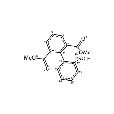 COC(=O)c1cccc(C(=O)OC)c1-c1ccccc1S(=O)(=O)O